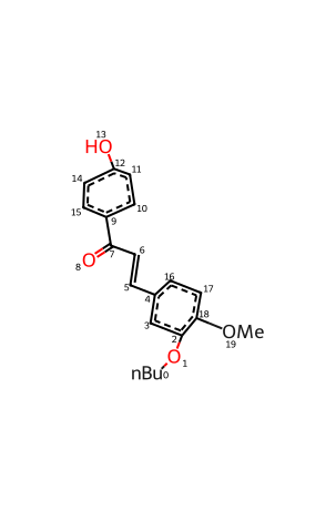 CCCCOc1cc(/C=C/C(=O)c2ccc(O)cc2)ccc1OC